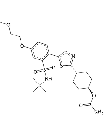 COCCOc1ccc(-c2cnc([C@H]3CC[C@H](OC(N)=O)CC3)s2)c(S(=O)(=O)NC(C)(C)C)c1